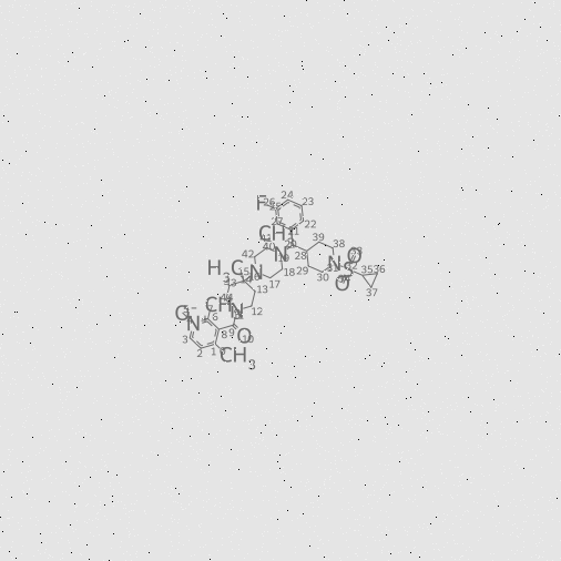 Cc1cc[n+]([O-])c(C)c1C(=O)N1CCC(C)(N2CCN([C@@H](c3cccc(F)c3)C3CCN(S(=O)(=O)C4CC4)CC3)[C@@H](C)C2)CC1